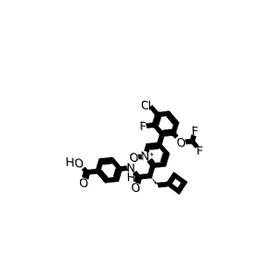 O=C(O)c1ccc(NC(=O)[C@@H](CC2CCC2)c2ccc(-c3c(OC(F)F)ccc(Cl)c3F)c[n+]2[O-])cc1